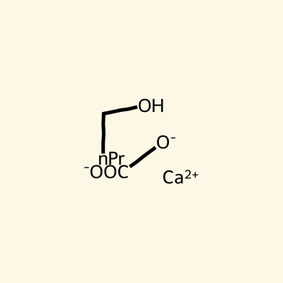 CCCCO.O=C([O-])[O-].[Ca+2]